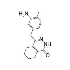 Cc1ccc(Cc2n[nH]c(=O)c3c2CCCC3)cc1N